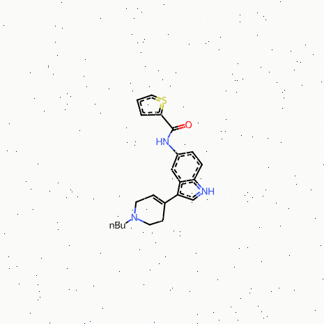 CCCCN1CC=C(c2c[nH]c3ccc(NC(=O)c4cccs4)cc23)CC1